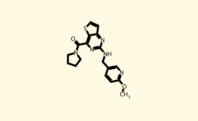 COc1ccc(CNc2nc(C(=O)N3CCCC3)c3sccc3n2)cn1